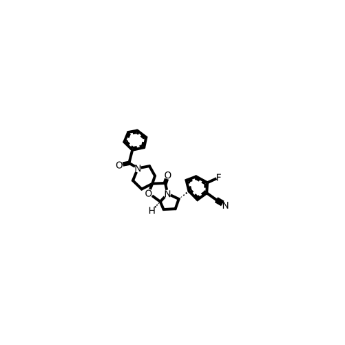 N#Cc1cc([C@@H]2CC[C@H]3OC4(CCN(C(=O)c5ccccc5)CC4)C(=O)N32)ccc1F